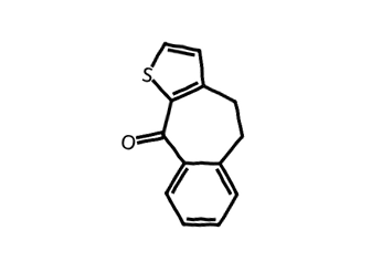 O=C1c2ccccc2CCc2ccsc21